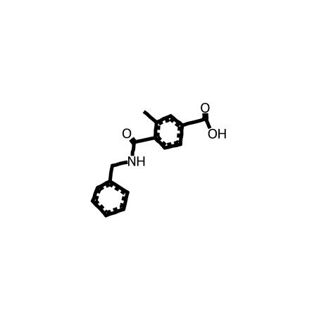 Cc1cc(C(=O)O)ccc1C(=O)NCc1ccccc1